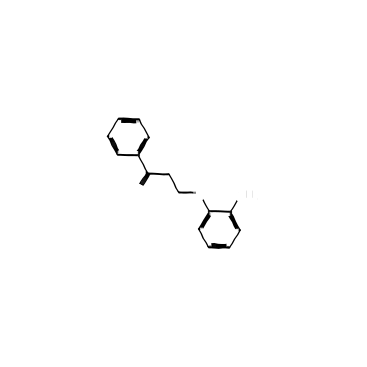 Cc1ccccc1OCCC(=O)c1ccccc1